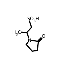 CC(CS(=O)(=O)O)N1CCCC1=O